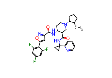 C[C@@H]1CCC[C@H]1N1CC[C@@H](NC(=O)c2cc(-c3c(F)cc(F)cc3F)on2)[C@H](C(=O)NC2(c3ccccn3)CC2)C1